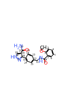 COc1ccccc1C(=O)NCc1ccc(-c2n[nH]cc2C(N)=O)cc1